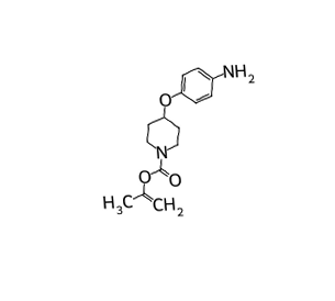 C=C(C)OC(=O)N1CCC(Oc2ccc(N)cc2)CC1